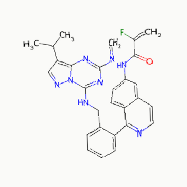 C=Nc1nc(NCc2ccccc2-c2nccc3cc(NC(=O)C(=C)F)ccc23)n2ncc(C(C)C)c2n1